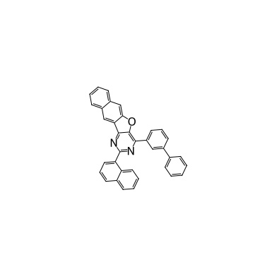 c1ccc(-c2cccc(-c3nc(-c4cccc5ccccc45)nc4c3oc3cc5ccccc5cc34)c2)cc1